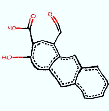 O=Cc1c(C(=O)O)c(O)cc2cc3ccccc3cc12